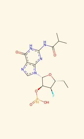 CC[C@H]1O[C@@H](n2cnc3c(=O)[nH]c(NC(=O)C(C)C)nc32)[C@H](O[PH](=O)O)[C@@H]1F